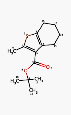 Cc1sc2c(c1C(=O)OC(C)(C)C)CCCC2